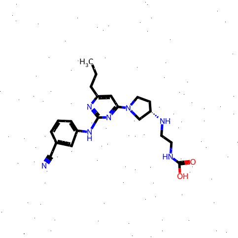 CCCc1cc(N2CC[C@H](NCCNC(=O)O)C2)nc(Nc2cccc(C#N)c2)n1